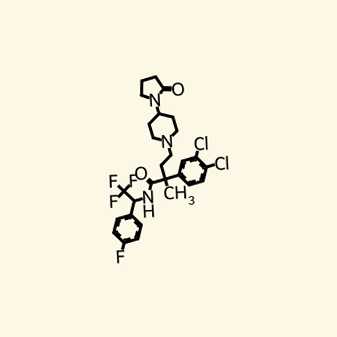 CC(CCN1CCC(N2CCCC2=O)CC1)(C(=O)NC(c1ccc(F)cc1)C(F)(F)F)c1ccc(Cl)c(Cl)c1